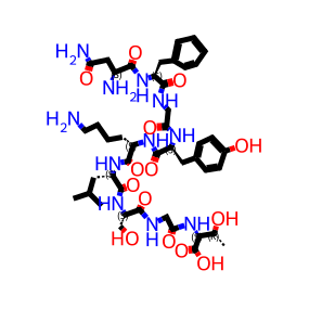 CC(C)C[C@H](NC(=O)[C@H](CCCCN)NC(=O)[C@H](Cc1ccc(O)cc1)NC(=O)CNC(=O)[C@H](Cc1ccccc1)NC(=O)[C@@H](N)CC(N)=O)C(=O)N[C@@H](CO)C(=O)NCC(=O)N[C@H](C(=O)O)[C@@H](C)O